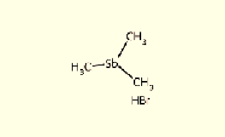 Br.[CH3][Sb]([CH3])[CH3]